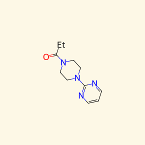 CCC(=O)N1CCN(c2ncccn2)CC1